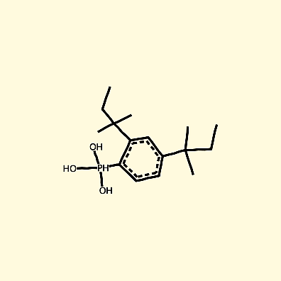 CCC(C)(C)c1ccc([PH](O)(O)O)c(C(C)(C)CC)c1